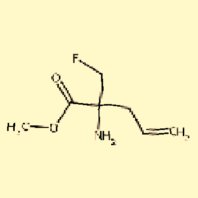 C=CCC(N)(CF)C(=O)OC